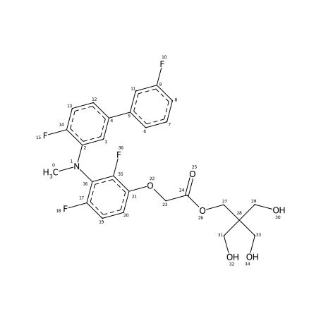 CN(c1cc(-c2cccc(F)c2)ccc1F)c1c(F)ccc(OCC(=O)OCC(CO)(CO)CO)c1F